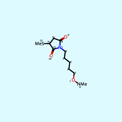 CNOCCCCCN1C(=O)CC(SC)C1=O